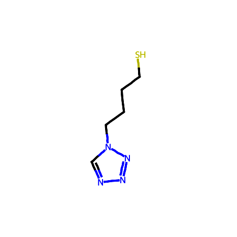 SCCCCn1cnnn1